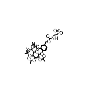 COC(=O)[C@H]1O[C@@H](Oc2ccc(COC(=O)NCCS(C)(=O)=O)cc2N=[N+]=[N-])[C@H](OC(C)=O)[C@@H](OC(C)=O)[C@@H]1OC(C)=O